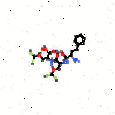 N[C@@H](CCc1ccccc1)C(=O)N[C@@H](COC(F)F)C(=O)N[C@@H](COC(F)F)C(=O)O